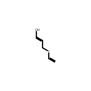 C=CSCC=CO